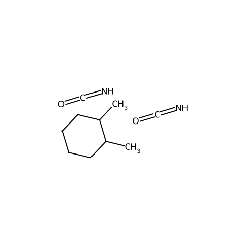 CC1CCCCC1C.N=C=O.N=C=O